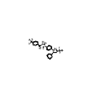 O=C(NS(=O)(=O)c1ccc(N2N=C(C(F)(F)F)CC2c2ccccc2)cc1)c1ccc(C(F)(F)F)cc1